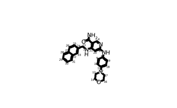 NC(=O)c1cnc(Nc2ccc(N3CCOCC3)cc2)cc1NCc1ccc2ccccc2c1